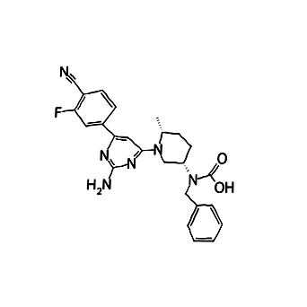 C[C@@H]1CC[C@H](N(Cc2ccccc2)C(=O)O)CN1c1cc(-c2ccc(C#N)c(F)c2)nc(N)n1